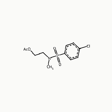 CC(=O)OCCN(C)S(=O)(=O)c1ccc(Cl)cc1